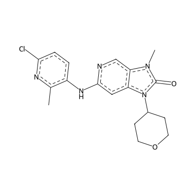 Cc1nc(Cl)ccc1Nc1cc2c(cn1)n(C)c(=O)n2C1CCOCC1